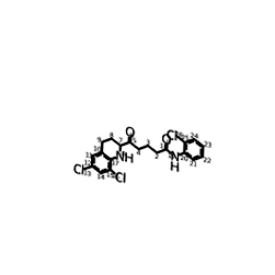 O=C(CCCC(=O)C1CCc2cc(Cl)cc(Cl)c2N1)Nc1ccccc1Cl